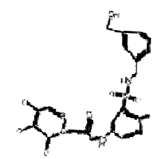 Cc1ccc(NC(=O)Cn2ncc(Cl)c(Cl)c2=O)cc1S(=O)(=O)NCc1cccc(CO)c1